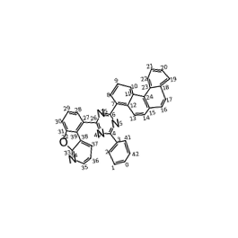 c1ccc(-c2nc(-c3cccc4c3ccc3ccc5ccccc5c34)nc(-c3cccc4oc5ncccc5c34)n2)cc1